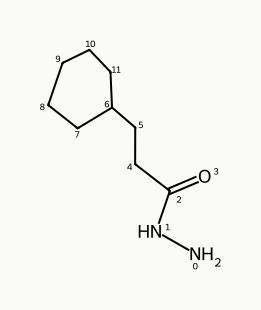 NNC(=O)CCC1CCCCC1